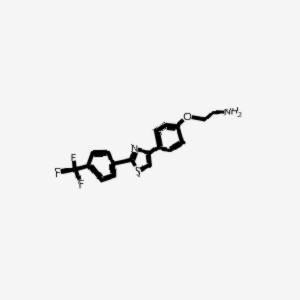 NCCOc1ccc(-c2csc(-c3ccc(C(F)(F)F)cc3)n2)cc1